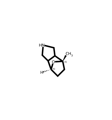 C[C@@]12CC[C@H](O1)C1CNCC12